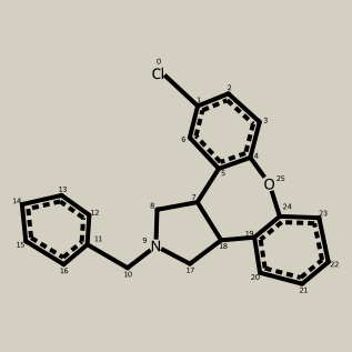 Clc1ccc2c(c1)C1CN(Cc3ccccc3)CC1c1ccccc1O2